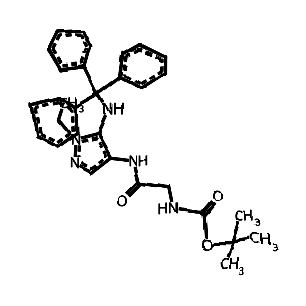 CCn1ncc(NC(=O)CNC(=O)OC(C)(C)C)c1NC(c1ccccc1)(c1ccccc1)c1ccccc1